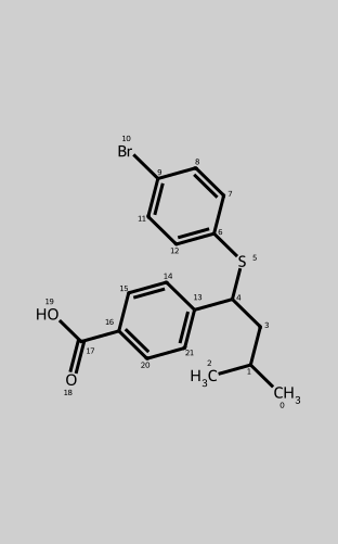 CC(C)CC(Sc1ccc(Br)cc1)c1ccc(C(=O)O)cc1